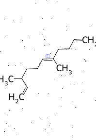 C=C[CH]C/C(C)=C/CCC(C)C=C